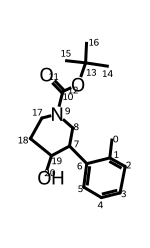 Cc1ccccc1C1CN(C(=O)OC(C)(C)C)CCC1O